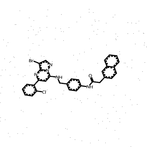 O=C(Cc1ccc2ccccc2c1)Nc1ccc(CNc2cc(-c3ccccc3Cl)nc3c(Br)cnn23)cc1